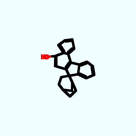 Oc1cc2c(c3ccccc13)-c1ccccc1C21CCC2CCC1C2